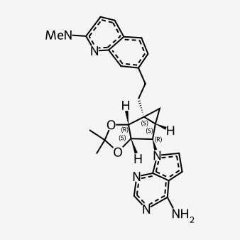 CNc1ccc2ccc(CC[C@]34C[C@@H]3[C@@H](n3ccc5c(N)ncnc53)[C@@H]3OC(C)(C)O[C@@H]34)cc2n1